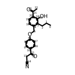 CCCc1c(COc2ccc(C(=O)CC#N)cc2)ccc(C(C)=O)c1O